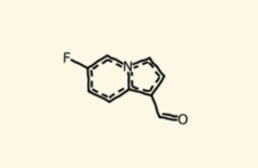 O=Cc1ccn2cc(F)ccc12